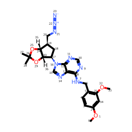 COc1ccc(CNc2ncnc3c2ncn3[C@@H]2C[C@H](CN=[N+]=[N-])[C@H]3OC(C)(C)O[C@H]32)c(OC)c1